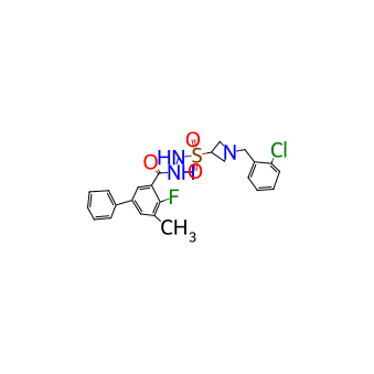 Cc1cc(-c2ccccc2)cc(C(=O)NNS(=O)(=O)C2CN(Cc3ccccc3Cl)C2)c1F